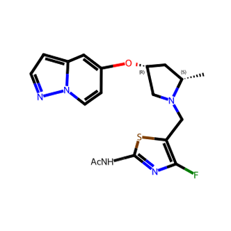 CC(=O)Nc1nc(F)c(CN2C[C@H](Oc3ccn4nccc4c3)C[C@@H]2C)s1